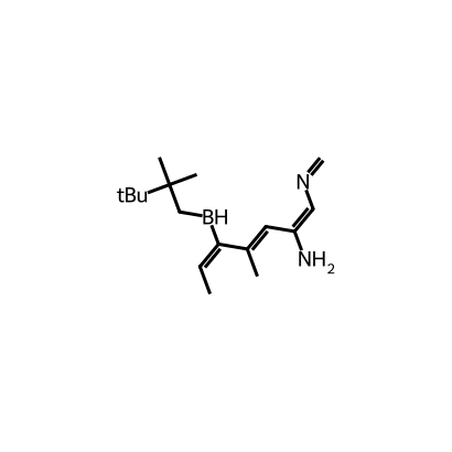 C=N\C=C(N)/C=C(C)/C(BCC(C)(C)C(C)(C)C)=C\C